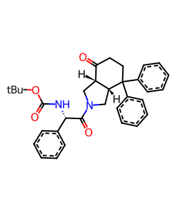 CC(C)(C)OC(=O)N[C@H](C(=O)N1C[C@@H]2C(=O)CCC(c3ccccc3)(c3ccccc3)[C@@H]2C1)c1ccccc1